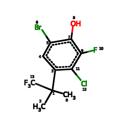 CC(C)(c1cc(Br)c(O)c(F)c1Cl)C(F)(F)F